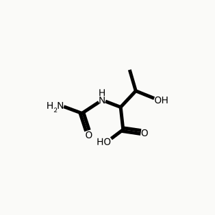 CC(O)C(NC(N)=O)C(=O)O